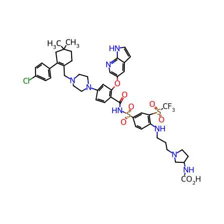 CC1(C)CCC(CN2CCN(c3ccc(C(=O)NS(=O)(=O)c4ccc(NCCCN5CCC(NC(=O)O)C5)c(S(=O)(=O)C(F)(F)F)c4)c(Oc4cnc5[nH]ccc5c4)c3)CC2)=C(c2ccc(Cl)cc2)C1